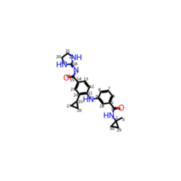 CC1(NC(=O)c2cccc(Nc3ccc(C(=O)N=C4NCCN4)cc3C3CC3)c2)CC1